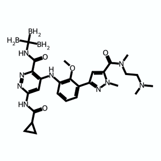 BC(B)(B)NC(=O)c1nnc(NC(=O)C2CC2)cc1Nc1cccc(-c2cc(C(=O)N(C)CCN(C)C)n(C)n2)c1OC